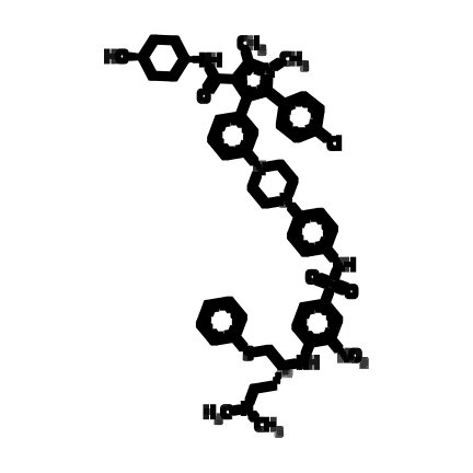 Cc1c(C(=O)N[C@H]2CC[C@H](O)CC2)c(-c2cccc(N3CCN(c4ccc(NS(=O)(=O)c5ccc(N[C@H](CCN(C)C)CSc6ccccc6)c([N+](=O)[O-])c5)cc4)CC3)c2)c(-c2ccc(Cl)cc2)n1C